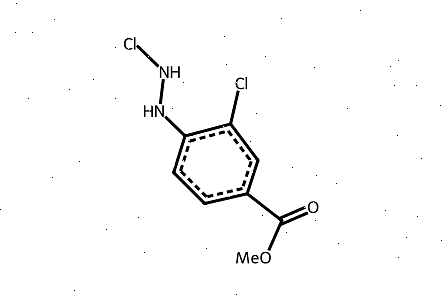 COC(=O)c1ccc(NNCl)c(Cl)c1